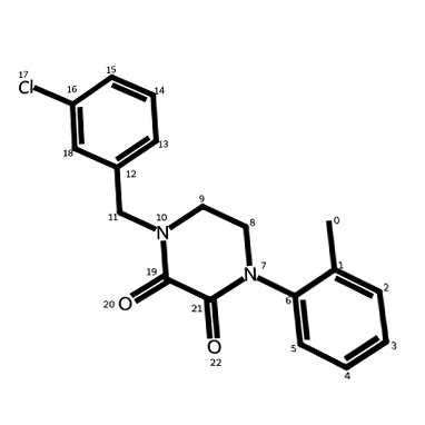 Cc1ccccc1N1CCN(Cc2cccc(Cl)c2)C(=O)C1=O